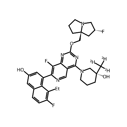 [2H]C([2H])([2H])[C@@]1(O)CCCN(c2nc(OC[C@@]34CCCN3C[C@H](F)C4)nc3c(F)c(-c4cc(O)cc5ccc(F)c(CC)c45)ncc23)C1